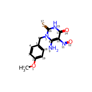 COc1ccc(Cn2c(N)c(N=O)c(=O)[nH]c2=S)cc1